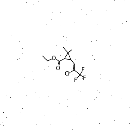 CCOC(=O)C1C(/C=C(\Cl)C(F)(F)F)C1(C)C